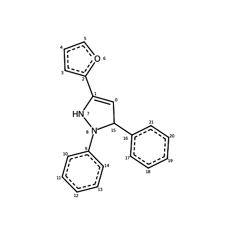 C1=C(c2ccco2)NN(c2ccccc2)C1c1ccccc1